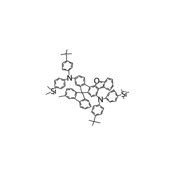 Cc1ccc2c(c1)-c1ccccc1C21c2cc(N(c3ccc(C(C)(C)C)cc3)c3ccc([Si](C)(C)C)cc3)ccc2-c2c1cc(N(c1ccc(C(C)(C)C)cc1)c1ccc([Si](C)(C)C)cc1)c1c2oc2ccccc21